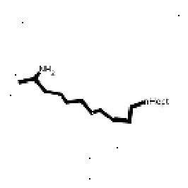 CCCCCCCC/C=C\CCCCCCC(C)N